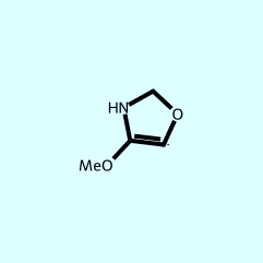 COC1=[C]OCN1